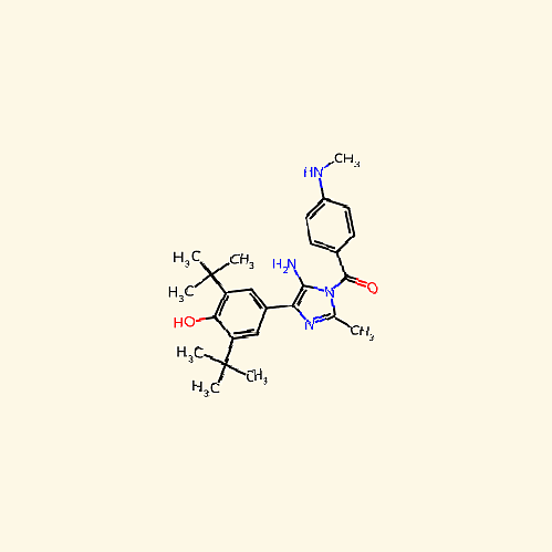 CNc1ccc(C(=O)n2c(C)nc(-c3cc(C(C)(C)C)c(O)c(C(C)(C)C)c3)c2N)cc1